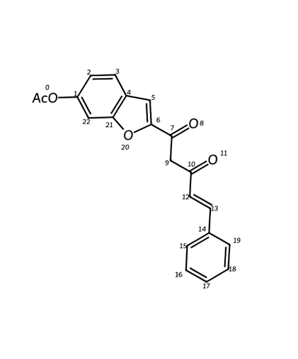 CC(=O)Oc1ccc2cc(C(=O)CC(=O)/C=C/c3ccccc3)oc2c1